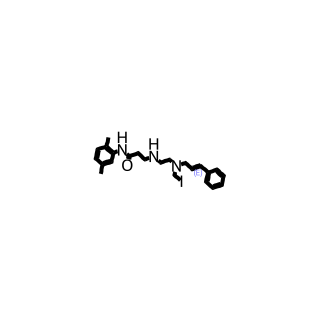 Cc1ccc(C)c(NC(=O)CCNCCN(CI)C/C=C/c2ccccc2)c1